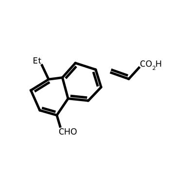 C=CC(=O)O.CCc1ccc(C=O)c2ccccc12